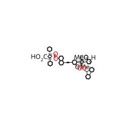 COc1ccccc1[C@H]1[C@@H](C(=O)O)[C@H](c2ccc(C#Cc3cccc4c(OC(=O)[C@H]5[C@@H](c6ccccc6)[C@H](C(=O)O)[C@@H]5c5ccccc5)cccc34)cc2OC)[C@@H]1C(=O)OCC1c2ccccc2-c2ccccc21